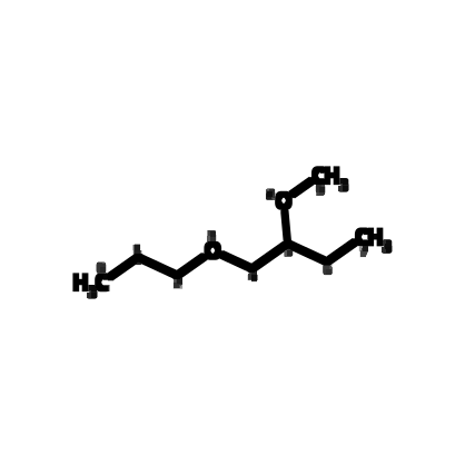 C[CH]COCC(CC)OC